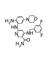 NC(=O)c1cnc(Nc2cc(N3CCOCC3)ccc2N)cc1NCc1cc(F)cc(F)c1